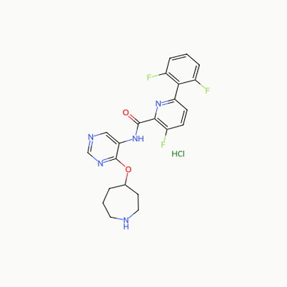 Cl.O=C(Nc1cncnc1OC1CCCNCC1)c1nc(-c2c(F)cccc2F)ccc1F